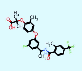 Cc1cc(Oc2cc(F)cc(C(C)NC(=O)c3ccc(C(F)(F)F)cc3C)c2)ccc1OC(C)(C)C(=O)O